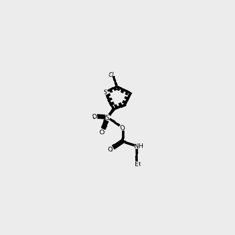 CCNC(=O)OS(=O)(=O)c1ccc(Cl)s1